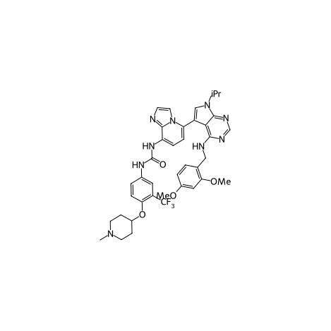 COc1ccc(CNc2ncnc3c2c(-c2ccc(NC(=O)Nc4ccc(OC5CCN(C)CC5)c(C(F)(F)F)c4)c4nccn24)cn3C(C)C)c(OC)c1